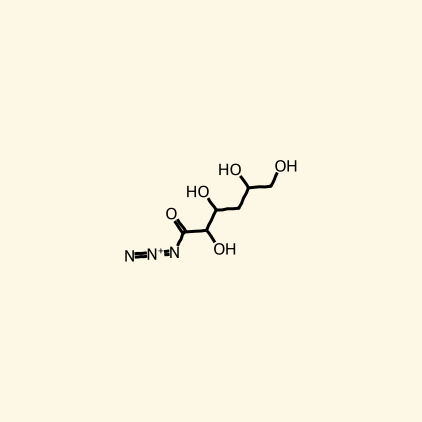 [N-]=[N+]=NC(=O)C(O)C(O)CC(O)CO